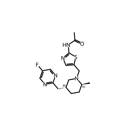 CC(=O)Nc1ncc(CN2C[C@@H](Cc3ncc(F)cn3)CC[C@@H]2C)s1